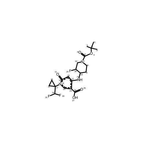 CC(C)(C)OC(=O)N1CCC(Nc2cc(=O)n(C3(C(F)F)CC3)cc2C(=O)O)C(F)C1